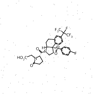 O=C(O)CN1C(=O)CC[C@H]1C(=O)N1CC[C@@]2(S(=O)(=O)c3ccc(F)cc3)c3ccc(C(F)(C(F)(F)F)C(F)(F)F)cc3CC[C@@H]12